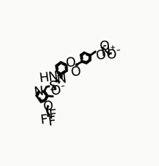 Cc1c(OCC(F)(F)F)ccnc1C[S+]([O-])c1nc2cc(OC(=O)c3ccc(CO[N+](=O)[O-])cc3)ccc2[nH]1